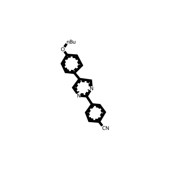 CCCCOc1ccc(-c2cnc(-c3ccc(C#N)cc3)nc2)cc1